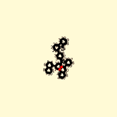 c1cc(-c2cccc3ccccc23)cc(N(c2ccc(-c3cccc4c3sc3ccccc34)cc2)c2ccccc2-c2ccc3ccccc3c2)c1